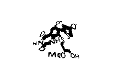 CO[C@@H](CO)CSc1c(-c2cc(Cl)cs2)c(C(F)(F)F)cc2c(=O)[nH]c(=O)[nH]c12